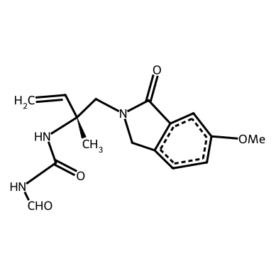 C=C[C@](C)(CN1Cc2ccc(OC)cc2C1=O)NC(=O)NC=O